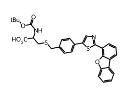 CC(C)(C)OC(=O)NC(CSCc1ccc(-c2cnc(-c3cccc4c3oc3ccccc34)s2)cc1)C(=O)O